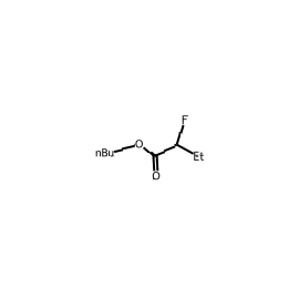 CCCCOC(=O)C(F)CC